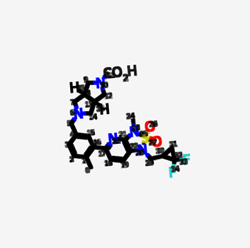 Cc1ccc(CN2C[C@@H]3CN(C(=O)O)C[C@@H]3C2)cc1-c1ccc2c(n1)N(C)S(=O)(=O)N2CC1CC1(F)F